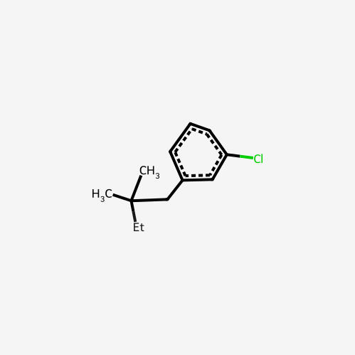 CCC(C)(C)Cc1cccc(Cl)c1